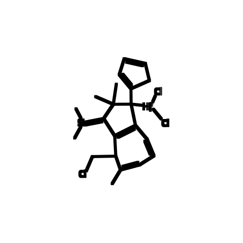 CC1=CC=CC2=C(C(=[Si](C)C)C(C)(C)[C]2(C2=CC=CC2)[Hf]([Cl])[Cl])C1CCl